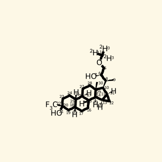 [2H]C([2H])([2H])OC[C@@H](O)[C@@H](C)[C@H]1[C@H]2C[C@H]2[C@H]2[C@@H]3CC[C@@H]4C[C@@](O)(C(F)(F)F)CC[C@@H]4[C@H]3CC[C@@]21C